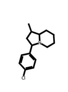 CC1CC(c2ccc(Cl)cc2)N2CCCCC12